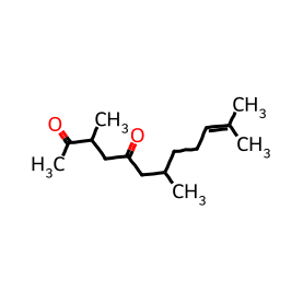 CC(=O)C(C)CC(=O)CC(C)CCC=C(C)C